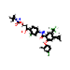 Cc1cc(F)ccc1Oc1cc(C2CC2)c(C(F)(F)F)cc1C(=O)Nc1ccc(C(O)CCOC(=O)NC(C)(C)C)c(F)c1